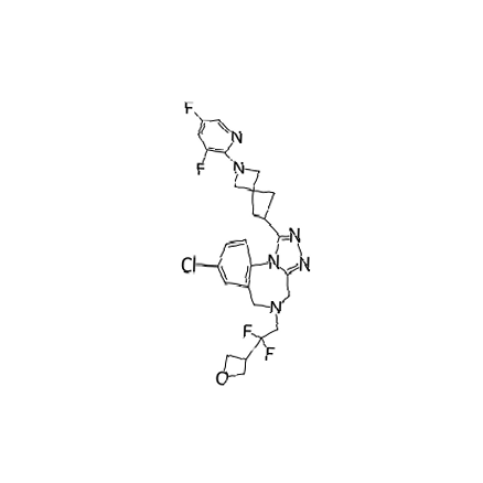 Fc1cnc(N2CC3(CC(c4nnc5n4-c4ccc(Cl)cc4CN(CC(F)(F)C4COC4)C5)C3)C2)c(F)c1